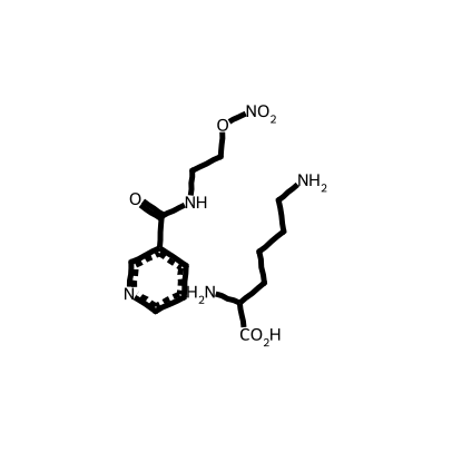 NCCCCC(N)C(=O)O.O=C(NCCO[N+](=O)[O-])c1cccnc1